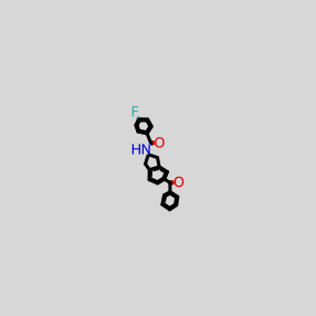 O=C(NC1Cc2ccc(C(=O)c3ccccc3)cc2C1)c1ccc(F)cc1